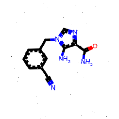 N#Cc1cccc(Cn2cnc(C(N)=O)c2N)c1